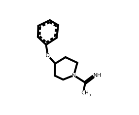 CC(=N)N1CCC(Oc2cc[c]cc2)CC1